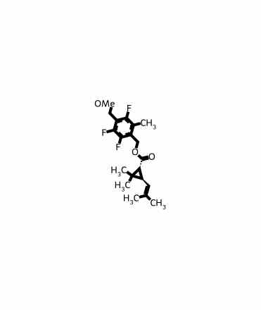 COCc1c(F)c(C)c(COC(=O)[C@@H]2[C@@H](C=C(C)C)C2(C)C)c(F)c1F